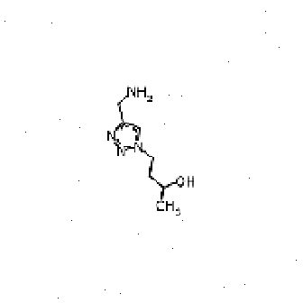 CC(O)CCn1cc(CN)nn1